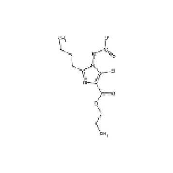 CCCCc1nc(C(=O)OCCC)c(Cl)n1O[N+](=O)[O-]